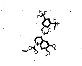 CCOC(=O)N1c2cc(OC)c(OC)cc2[C@@H](N(C=O)Cc2cc(C(F)(F)F)cc(C(F)(F)F)c2)C[C@H]1C